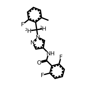 [2H]C([2H])(c1c(C)cccc1F)n1cc(NC(=O)c2c(F)cccc2F)cn1